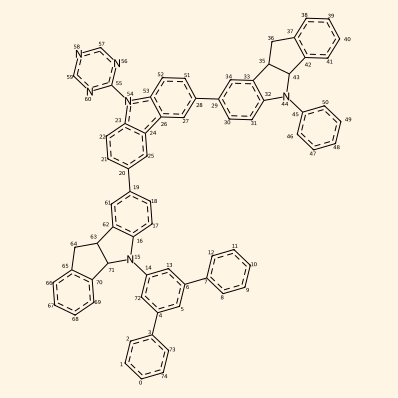 c1ccc(-c2cc(-c3ccccc3)cc(N3c4ccc(-c5ccc6c(c5)c5cc(-c7ccc8c(c7)C7Cc9ccccc9C7N8c7ccccc7)ccc5n6-c5ncncn5)cc4C4Cc5ccccc5C43)c2)cc1